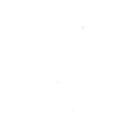 O=C(NO)c1ccc(-c2cccc(CNCCc3cccnc3)c2)cc1